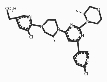 C[C@@H]1CN(c2ncc(CC(=O)O)cc2Cl)CCN1c1cc(-c2ccc(Cl)cc2)nc(N2CCOC[C@H]2C)n1